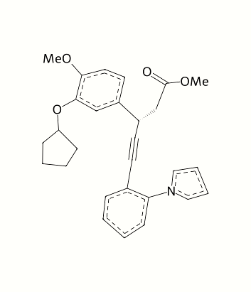 COC(=O)C[C@H](C#Cc1ccccc1-n1cccc1)c1ccc(OC)c(OC2CCCC2)c1